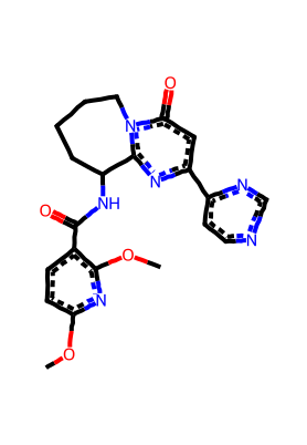 COc1ccc(C(=O)NC2CCCCn3c2nc(-c2ccncn2)cc3=O)c(OC)n1